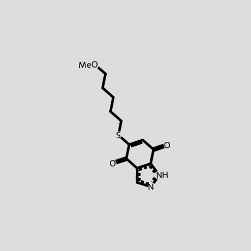 COCCCCCSC1=CC(=O)c2[nH]ncc2C1=O